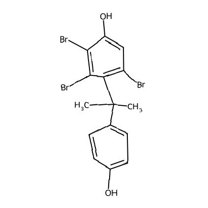 CC(C)(c1ccc(O)cc1)c1c(Br)cc(O)c(Br)c1Br